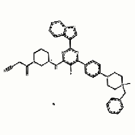 C[N+]1(Cc2ccccc2)CCN(c2ccc(-c3nc(-c4cnn5ccccc45)nc(N[C@@H]4CCCN(C(=O)CC#N)C4)c3F)cc2)CC1.[Br-]